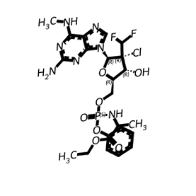 CCOC(=O)C(C)N[P@](=O)(OC[C@H]1O[C@@H](n2cnc3c(NC)nc(N)nc32)[C@@](Cl)(C(F)F)[C@@H]1O)Oc1ccccc1